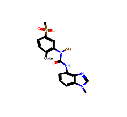 COc1ccc(S(C)(=O)=O)cc1N(S)C(=O)Nc1cccc2c1ncn2C